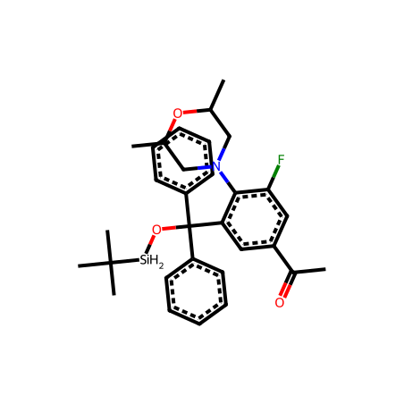 CC(=O)c1cc(F)c(N2CC(C)OC(C)C2)c(C(O[SiH2]C(C)(C)C)(c2ccccc2)c2ccccc2)c1